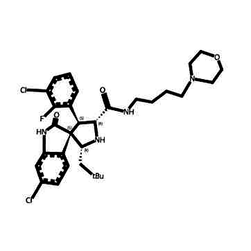 CC(C)(C)C[C@H]1N[C@@H](C(=O)NCCCCN2CCOCC2)[C@H](c2cccc(Cl)c2F)[C@@]12C(=O)Nc1cc(Cl)ccc12